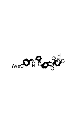 COC1CCC(CN[C@H]2CCC[C@@H]2Oc2ccc3c(c2)CN(C2CCC(=O)NC2=O)C3=O)CC1